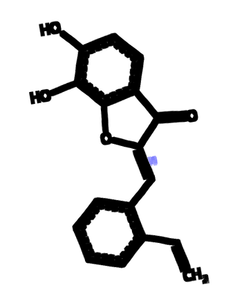 C=Cc1ccccc1/C=C1\Oc2c(ccc(O)c2O)C1=O